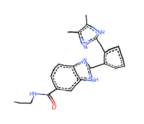 CCNC(=O)c1ccc2nc(-c3ccccc3-c3nc(C)c(C)[nH]3)[nH]c2c1